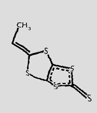 CC=C1Sc2sc(=S)sc2S1